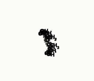 Cc1cc(-c2ccc(NCC(O)CS(=O)(=O)O)c(C)c2)ccc1NCC(O)CS(=O)(=O)O